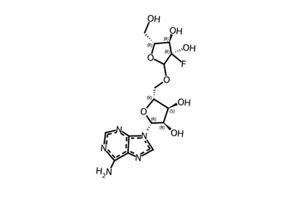 Nc1ncnc2c1ncn2[C@@H]1O[C@H](COC2O[C@H](CO)[C@@H](O)[C@@]2(O)F)[C@@H](O)[C@H]1O